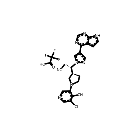 N#CC[C@@H]([C@H]1CCN(c2cncc(Cl)c2C#N)C1)n1cc(-c2ncnc3[nH]ccc23)cn1.O=C(O)C(F)(F)F